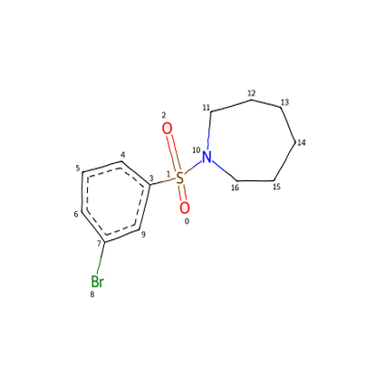 O=S(=O)(c1cccc(Br)c1)N1CCCCCC1